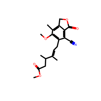 COC(=O)CC(C)/C(C)=C/Cc1c(C#N)c2c(c(C)c1OC)COC2=O